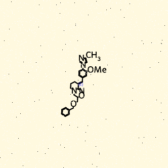 COc1cc(/C=C2\CCCN3CC(COCc4ccccc4)ON=C23)ccc1-n1cnc(C)c1